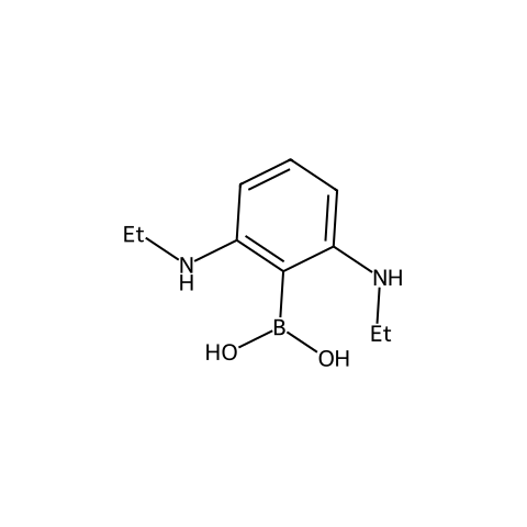 CCNc1cccc(NCC)c1B(O)O